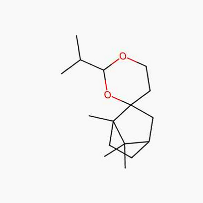 CC(C)C1OCCC2(CC3CCC2(C)C3(C)C)O1